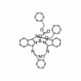 O=P(OCc1ccccc1)(OCc1ccccc1)OB1n2c3c4ccccc4c2/N=C2N=C(/N=c4/c5ccccc5c(n41)=N3)c1ccccc1\2